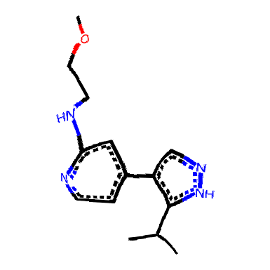 COCCNc1cc(-c2cn[nH]c2C(C)C)ccn1